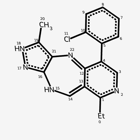 CCc1ncc(-c2ccccc2Cl)c2c1=CNc1n[nH]c(C)c1N=2